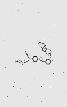 CC#CC(CC(=O)O)c1ccc(OCc2cccc(CN3CCc4sc(CO)cc4C3)c2)cc1